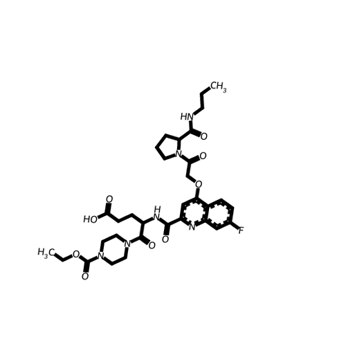 CCCNC(=O)C1CCCN1C(=O)COc1cc(C(=O)NC(CCC(=O)O)C(=O)N2CCN(C(=O)OCC)CC2)nc2cc(F)ccc12